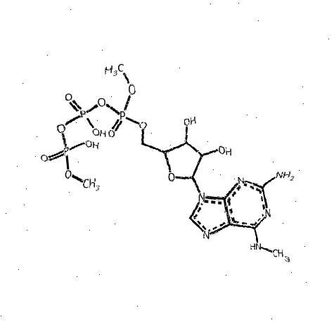 CNc1nc(N)nc2c1ncn2C1OC(COP(=O)(OC)OP(=O)(O)OP(=O)(O)OC)C(O)C1O